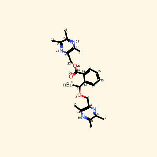 CCCCC(OCc1nc(C)c(C)nc1C)c1ccccc1C(=O)OCc1nc(C)c(C)nc1C